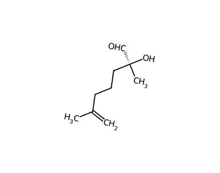 C=C(C)CCC[C@](C)(O)C=O